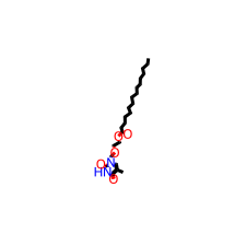 CCCCCCCCCCCCCCCC(=O)OCCOCn1cc(C)c(=O)[nH]c1=O